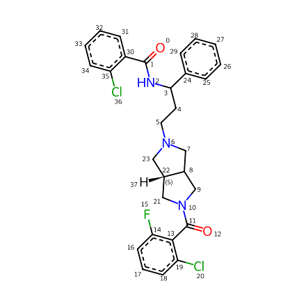 O=C(NC(CCN1CC2CN(C(=O)c3c(F)cccc3Cl)C[C@@H]2C1)c1ccccc1)c1ccccc1Cl